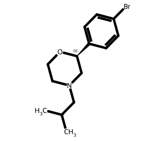 C[C](C)CN1CCO[C@@H](c2ccc(Br)cc2)C1